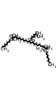 CCCCCCCCOC(=O)C(C)(C)CCCCCCCCC(CCCCCCCCC(C)(C)C(=O)OCCCCCCCC)OC(=O)CCCN(C)C